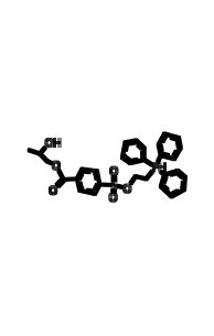 CC(O)COC(=O)c1ccc(S(=O)(=O)OCC[PH](c2ccccc2)(c2ccccc2)c2ccccc2)cc1